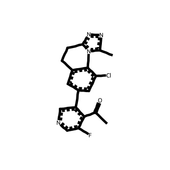 CC(=O)c1c(F)cncc1-c1cc(Cl)c2c(c1)CCc1nnc(C)n1-2